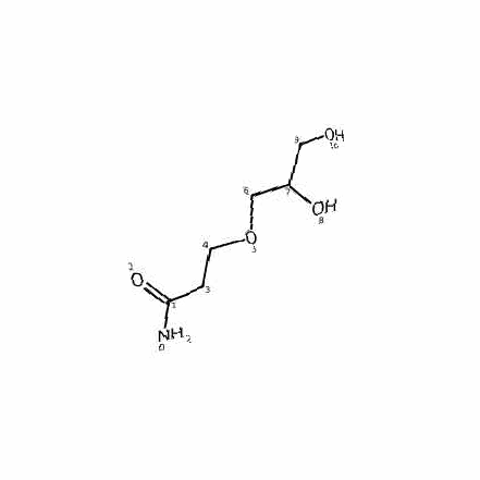 NC(=O)CCOCC(O)CO